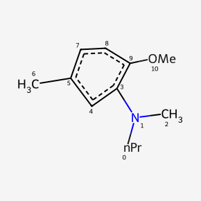 CCCN(C)c1cc(C)ccc1OC